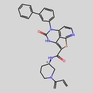 C=CC(=C)N1CCC[C@@H](NC(=O)c2sc3nccc4c3c2NC(=O)N4c2cccc(-c3ccccc3)c2)C1